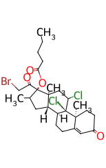 CCCCC(=O)O[C@]1(C(=O)CBr)C(C)C[C@H]2[C@@H]3CCC4=CC(=O)CC[C@]4(C)[C@@]3(Cl)C(Cl)C[C@@]21C